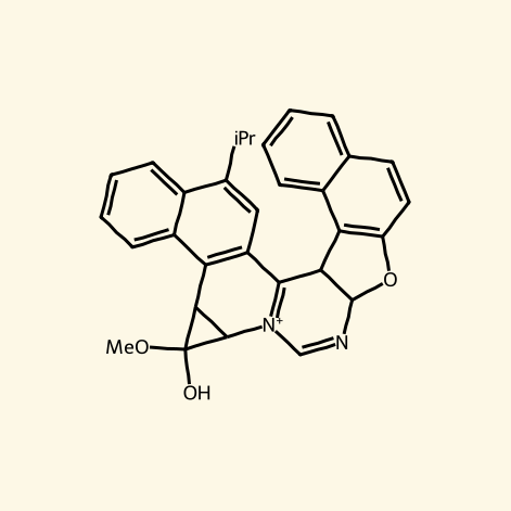 COC1(O)C2c3c(cc(C(C)C)c4ccccc34)C3=[N+](C=NC4Oc5ccc6ccccc6c5C34)C21